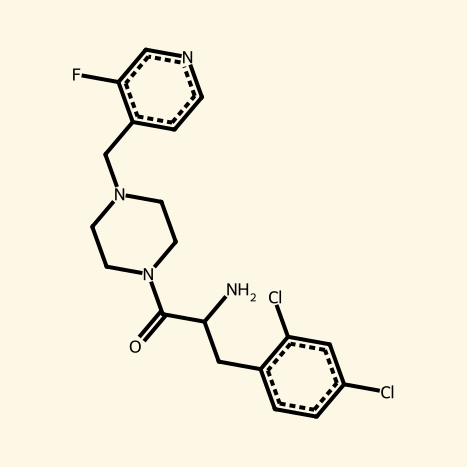 NC(Cc1ccc(Cl)cc1Cl)C(=O)N1CCN(Cc2ccncc2F)CC1